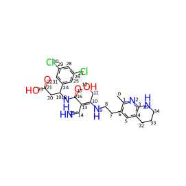 Cc1nc2c(cc1CCN/C(CO)=C(\C=N)C(=O)NC(CC(=O)O)c1cc(Cl)cc(Cl)c1)CCCN2